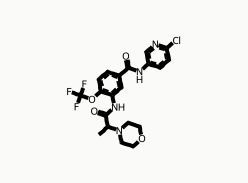 CC(C(=O)Nc1cc(C(=O)Nc2ccc(Cl)nc2)ccc1OC(F)(F)F)N1CCOCC1